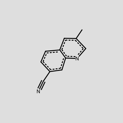 Cc1cnc2cc(C#N)ccc2c1